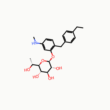 CCc1ccc(Cc2ccc(NC)cc2O[C@@H]2O[C@H]([C@@H](C)O)[C@@H](O)[C@H](O)[C@H]2O)cc1